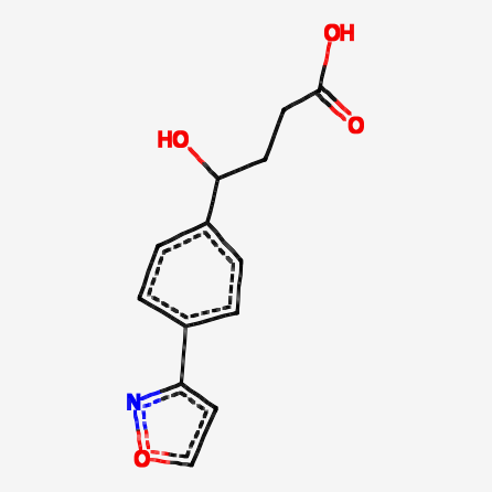 O=C(O)CCC(O)c1ccc(-c2ccon2)cc1